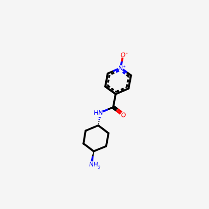 N[C@H]1CC[C@H](NC(=O)c2cc[n+]([O-])cc2)CC1